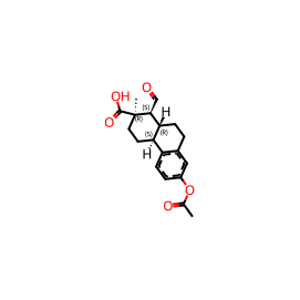 CC(=O)Oc1ccc2c(c1)CC[C@@H]1[C@@H]2CC[C@@](C)(C(=O)O)[C@H]1C=O